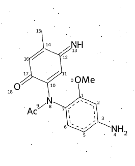 COc1cc(N)ccc1N(C(C)=O)C1=CC(=N)C(C)=CC1=O